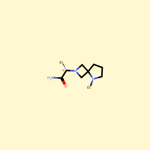 CC[C@@H](C(N)=O)N1CC2(CCCN2CC)C1